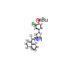 CCCCOc1ccc([C@@H]2CC[C@H](NC(C)c3cccc4ccccc34)C2)cc1F